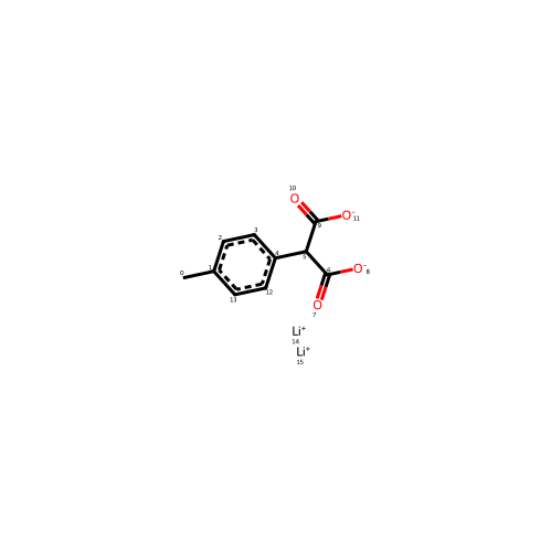 Cc1ccc(C(C(=O)[O-])C(=O)[O-])cc1.[Li+].[Li+]